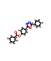 O=C(Oc1ccc(-c2nnc(-c3ccccc3)o2)cc1)c1ccccc1